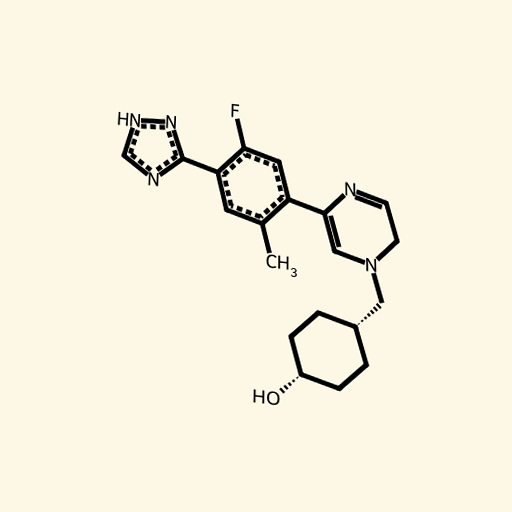 Cc1cc(-c2nc[nH]n2)c(F)cc1C1=CN(C[C@H]2CC[C@@H](O)CC2)CC=N1